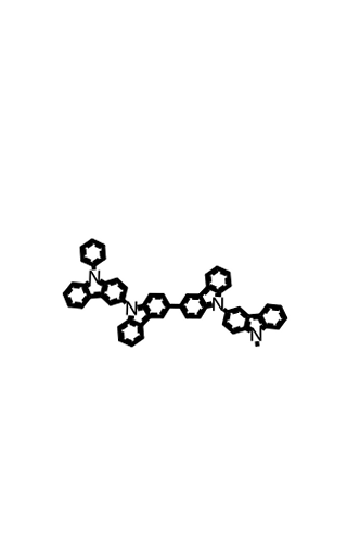 Cn1c2ccccc2c2cc(-n3c4ccccc4c4cc(-c5ccc6c(c5)c5ccccc5n6-c5ccc6c(c5)c5ccccc5n6-c5ccccc5)ccc43)ccc21